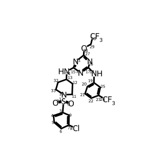 O=S(=O)(c1cccc(Cl)c1)N1CCC(Nc2nc(Nc3cccc(C(F)(F)F)c3)nc(OCC(F)(F)F)n2)CC1